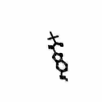 CC(C)(C)C(=O)Nc1cc2cc(N)ccc2o1